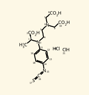 C[C@@H](C(=O)O)N(CCN(CC(=O)O)CC(=O)O)c1ccc(N=C=S)cc1.Cl.Cl